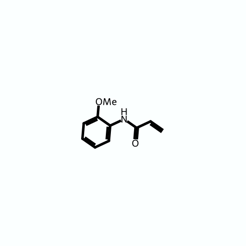 C=CC(=O)Nc1ccccc1OC